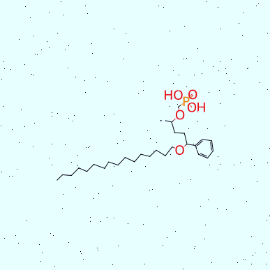 [CH2]C(CCC(OCCCCCCCCCCCCCCCC)c1ccccc1)OCP(=O)(O)O